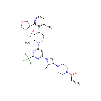 C=CC(=O)N1CCN([C@@H]2CN(c3cc(N4CC[C@H](c5c(C)ccnc5[C@@]5(OC)CCOC5)C[C@H]4C)nc(C(F)(F)F)n3)[C@@H]2C)CC1